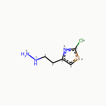 NNCCc1csc(Cl)n1